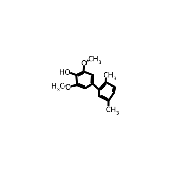 COc1cc(-c2cc(C)ccc2C)cc(OC)c1O